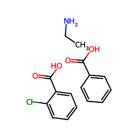 CCN.O=C(O)c1ccccc1.O=C(O)c1ccccc1Cl